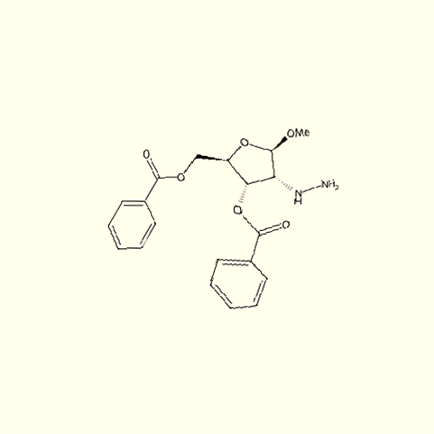 CO[C@@H]1O[C@H](COC(=O)c2ccccc2)[C@@H](OC(=O)c2ccccc2)[C@H]1NN